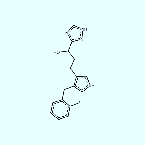 OC(CCc1c[nH]cc1Cc1ccccc1F)c1nc[nH]n1